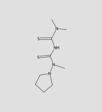 CN(C)C(=S)NC(=S)N(C)N1CCCC1